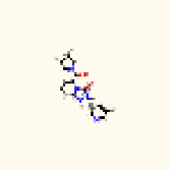 O=C([C@@H]1CCCc2nn(CC3(F)C=C(Cl)C=NC3)c(=O)n21)N1C[C@H](F)[C@@H](F)C1